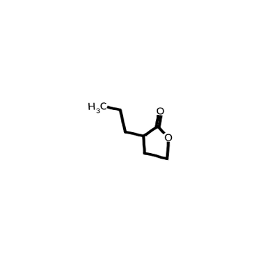 CCC[C]1CCOC1=O